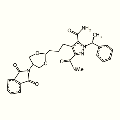 CNC(=O)c1nn([C@@H](C)c2ccccc2)c(C(N)=O)c1CCCC1OCC(N2C(=O)c3ccccc3C2=O)CO1